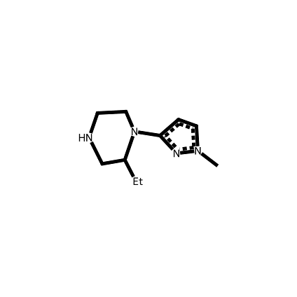 CCC1CNCCN1c1ccn(C)n1